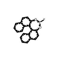 Fp1oc2ccc3ccccc3c2c2c(ccc3ccccc32)o1